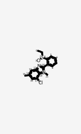 CC[S+]([O-])c1ccccc1-c1nc2cc(C)cc(Cl)c2n1C